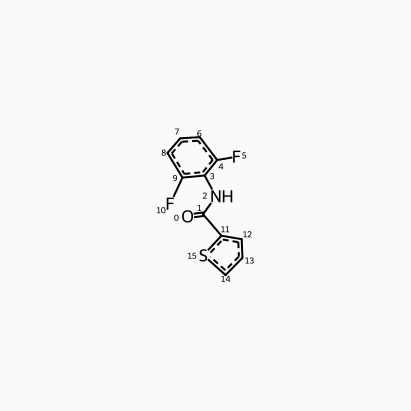 O=C(Nc1c(F)cccc1F)c1cccs1